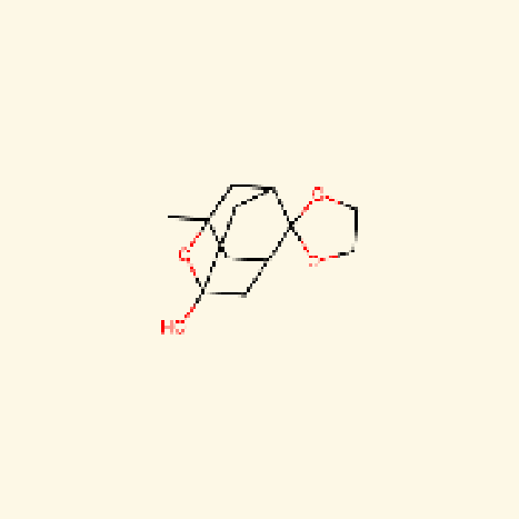 CC12CC3CC(O)(CC(C1)C31OCCO1)O2